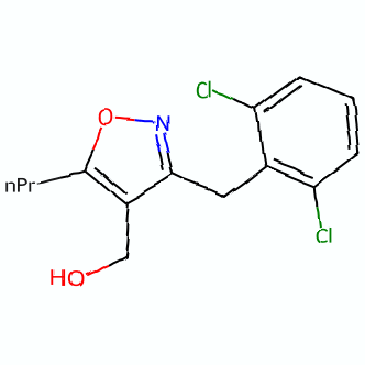 CCCc1onc(Cc2c(Cl)cccc2Cl)c1CO